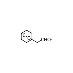 O=[C]CC12CCC(CC1)CC2